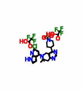 C[C@@H]1Cc2ncnc(C3CCN(S(C)(=O)=O)CC3)c2CN1c1cc(Cl)nc2[nH]ccc12.O=C(O)C(F)(F)F.O=C(O)C(F)(F)F